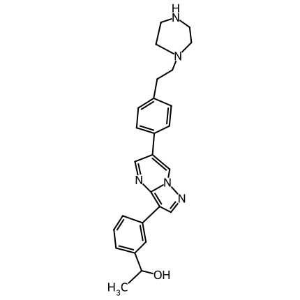 CC(O)c1cccc(-c2cnn3cc(-c4ccc(CCN5CCNCC5)cc4)cnc23)c1